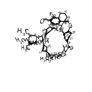 CO[C@@]1(CN2C[C@@H](C)N(C)[C@@H](C)C2)C2=C[C@@H](C2)[C@H](C)[C@@H](C)S(=O)(=O)NC(=O)c2ccc3c(c2)N(C[C@@H]2CC[C@H]21)C[C@@]1(CCCc2c1ccc(Cl)c2F)CO3